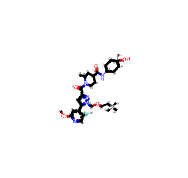 COc1cc(-c2cc(C(=O)N3CCC(C(=O)N[C@H]4CC[C@](C)(O)CC4)CC3C)nn2COCC[Si](C)(C)C)c(F)cn1